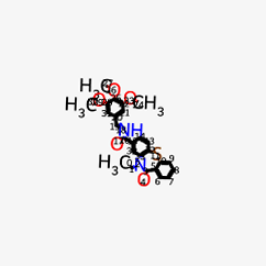 CCN1C(=O)c2ccccc2Sc2ccc(C(=O)NCc3cc(OC)c(OC)c(OC)c3)cc21